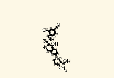 CN1CCN(c2ccc3c(O)c(C(=O)NCc4ccc(C#N)cc4Cl)ncc3n2)CC1CO